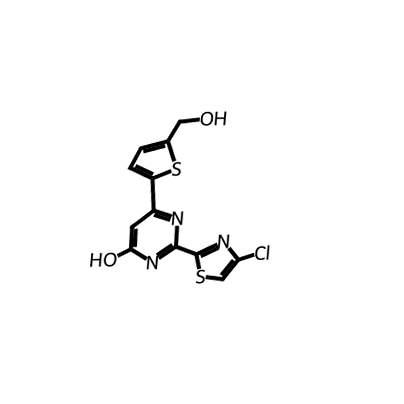 OCc1ccc(-c2cc(O)nc(-c3nc(Cl)cs3)n2)s1